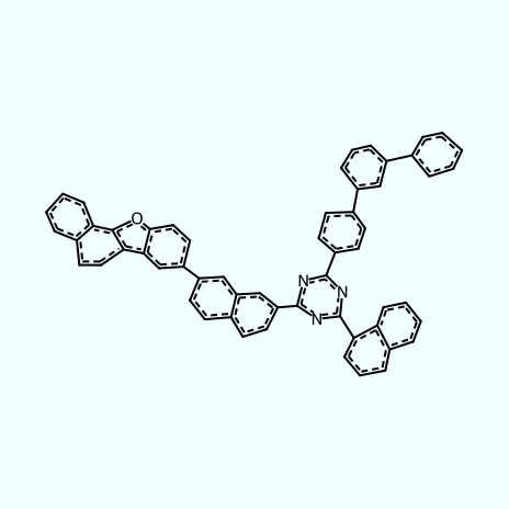 c1ccc(-c2cccc(-c3ccc(-c4nc(-c5ccc6ccc(-c7ccc8oc9c%10ccccc%10ccc9c8c7)cc6c5)nc(-c5cccc6ccccc56)n4)cc3)c2)cc1